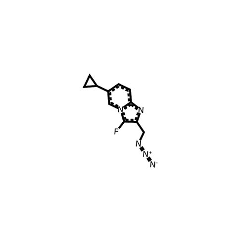 [N-]=[N+]=NCc1nc2ccc(C3CC3)cn2c1F